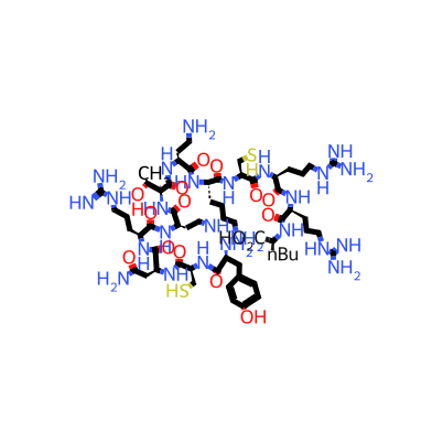 CCCC[C@H](NC(=O)[C@H](CCCNC(=N)N)NC(=O)[C@H](CCCNC(=N)N)NC(=O)[C@H](CS)NC(=O)[C@H](CCCCN)NC(=O)[C@@H](CCN)NC(=O)[C@@H](NC(=O)[C@H](CCN)NC(=O)[C@H](CCCNC(=N)N)NC(=O)[C@H](CC(N)=O)NC(=O)[C@H](CS)NC(=O)[C@@H](N)Cc1ccc(O)cc1)[C@@H](C)O)C(=O)O